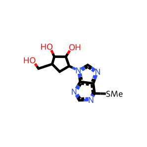 CSc1ncnc2c1ncn2C1CC(CO)C(O)C1O